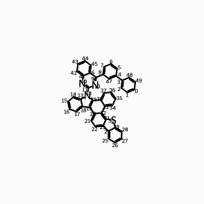 c1ccc(-c2cccc(-c3nc(-n4c5ccccc5c5c6ccc7c8ccccc8sc7c6c6ccccc6c54)nc4ccccc34)c2)cc1